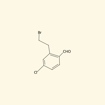 O=Cc1ccc(Cl)cc1CCBr